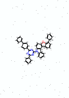 c1ccc(-c2ccc(-c3nc(-c4ccccc4)nc(-n4c5ccccc5c5c6c(ccc54)oc4c(-c5ccccc5)cccc46)n3)cc2)cc1